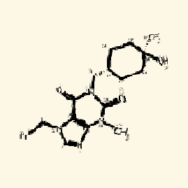 CC(C)Cn1cnc2c1c(=O)n(C[C@H]1CC[C@@](O)(C(F)(F)F)CC1)c(=O)n2C